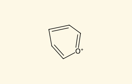 c1cc[o+]cc1